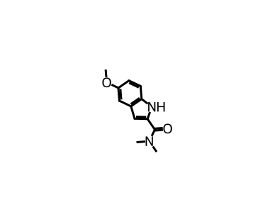 COc1ccc2[nH]c(C(=O)N(C)C)cc2c1